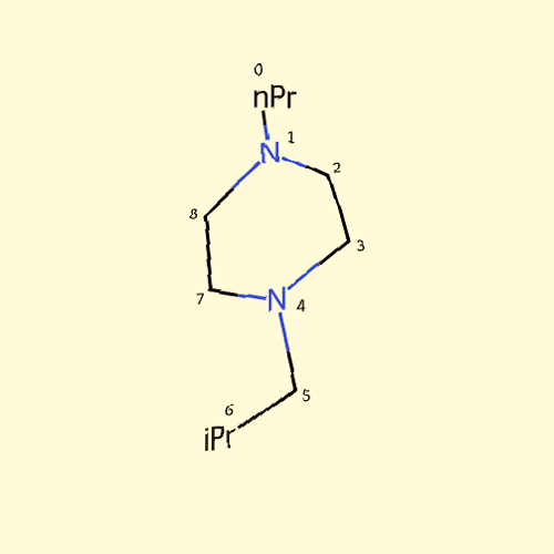 CCCN1CCN(CC(C)C)CC1